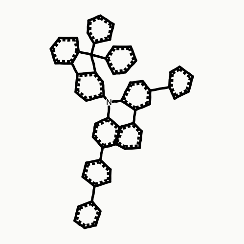 c1ccc(-c2ccc(-c3ccc(N(c4ccc5c(c4)C(c4ccccc4)(c4ccccc4)c4ccccc4-5)c4ccc(-c5ccccc5)cc4-c4ccccc4)cc3)cc2)cc1